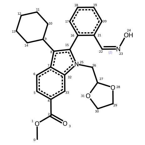 COC(=O)c1ccc2c(C3CCCCC3)c(-c3ccccc3/C=N\O)n(CC3OCCO3)c2c1